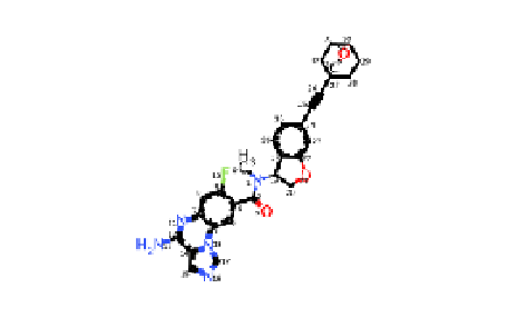 CN(C(=O)c1cc2c(cc1F)nc(N)c1cncn12)[C@@H]1COc2cc(C#CC34CCC(CC3)OC4)ccc21